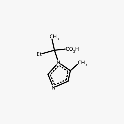 CCC(C)(C(=O)O)n1cncc1C